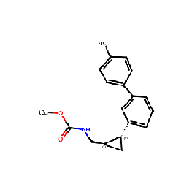 CC(C)(C)OC(=O)NC[C@@H]1C[C@H]1c1cccc(-c2ccc(C#N)cc2)c1